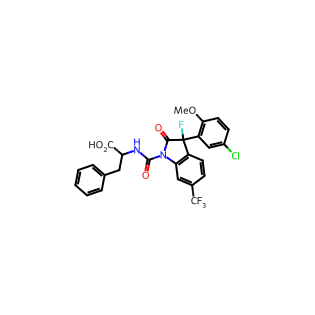 COc1ccc(Cl)cc1C1(F)C(=O)N(C(=O)NC(Cc2ccccc2)C(=O)O)c2cc(C(F)(F)F)ccc21